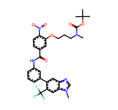 CN(CCCOc1cc(C(=O)Nc2cccc(-c3cc4ncn(C)c4cc3C(F)(F)F)c2)ccc1[N+](=O)[O-])C(=O)OC(C)(C)C